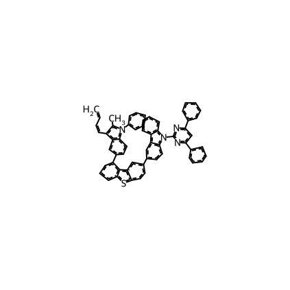 C=C/C=C\c1c(C)n(-c2ccccc2)c2ccc(-c3cccc4sc5ccc(-c6ccc7c(c6)c6ccccc6n7-c6nc(-c7ccccc7)cc(-c7ccccc7)n6)cc5c34)cc12